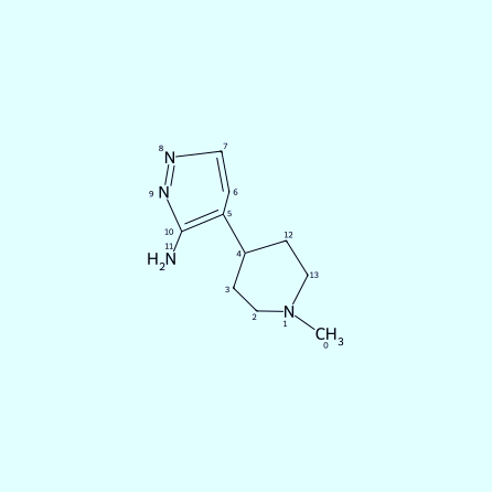 CN1CCC(c2ccnnc2N)CC1